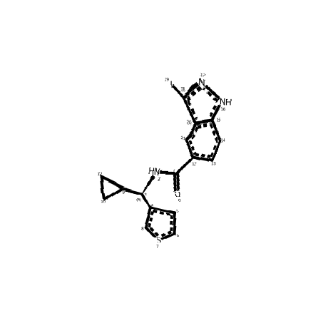 O=C(N[C@@H](c1ccsc1)C1CC1)c1ccc2[nH]nc(I)c2c1